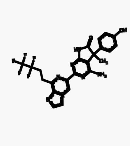 CC1(c2ccc(O)cc2)C(=O)Nc2nc(-c3cn4ccnc4c(CCC(F)(F)C(F)(F)F)n3)nc(N)c21